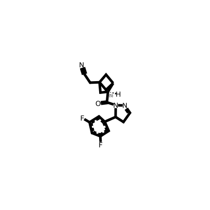 N#CCC12CC(C1)[C@@H](C(=O)N1N=CCC1c1cc(F)cc(F)c1)C2